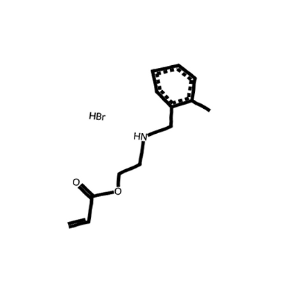 Br.C=CC(=O)OCCNCc1ccccc1C